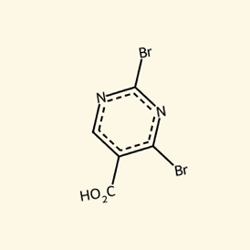 O=C(O)c1cnc(Br)nc1Br